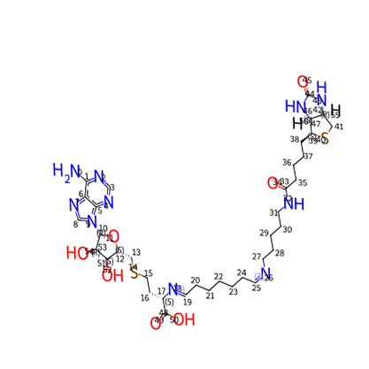 Nc1ncnc2c1ncn2[C@@H]1O[C@H](CSCC[C@H](/N=C/CCCCC/C=N\CCCCCNC(=O)CCCC[C@@H]2SC[C@@H]3NC(=O)N[C@@H]32)C(=O)O)[C@@H](O)[C@H]1O